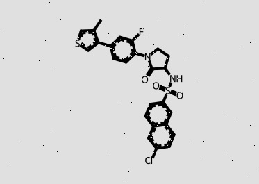 Cc1cscc1-c1ccc(N2CCC(NS(=O)(=O)c3ccc4cc(Cl)ccc4c3)C2=O)c(F)c1